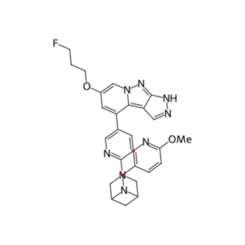 COc1ccc(CN2C3CC2CN(c2ccc(-c4cc(OCCCF)cn5nc6[nH]ncc6c45)cn2)C3)cn1